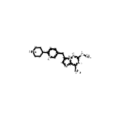 CCCCOc1nc(N)c2ncc(Cc3ccc(C4CCNCC4)nc3)n2n1